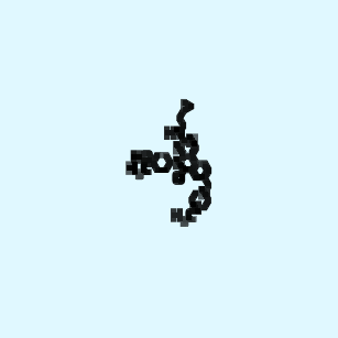 CN1CCN(Cc2ccc3c(c2)c(=O)n([C@H]2CC[C@](C)(O)CC2)c2nc(NCCC4CC4)ncc32)CC1